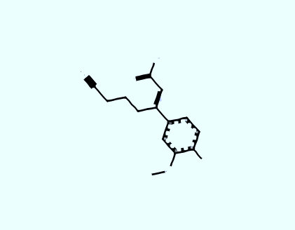 COc1cc(/C(=C/C(=O)O)CCCC#N)ccc1O